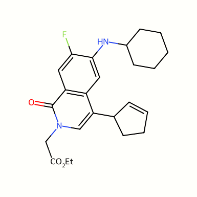 CCOC(=O)Cn1cc(C2C=CCC2)c2cc(NC3CCCCC3)c(F)cc2c1=O